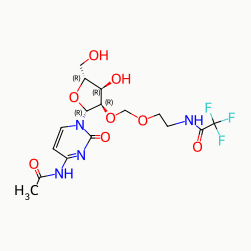 CC(=O)Nc1ccn([C@@H]2O[C@H](CO)[C@@H](O)[C@H]2OCOCCNC(=O)C(F)(F)F)c(=O)n1